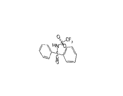 O=S(=O)(N[SH](=O)(c1ccccc1)c1ccccc1)C(F)(F)F